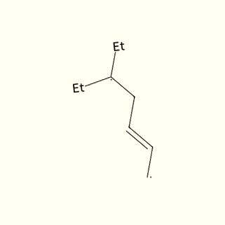 [CH2]C=CC[C](CC)CC